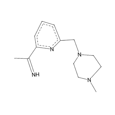 CC(=N)c1cccc(CN2CCN(C)CC2)n1